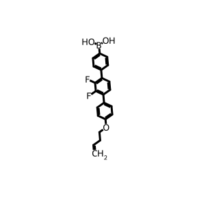 C=CCCOc1ccc(-c2ccc(-c3ccc(B(O)O)cc3)c(F)c2F)cc1